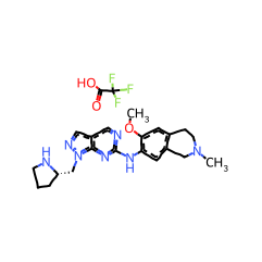 COc1cc2c(cc1Nc1ncc3cnn(C[C@@H]4CCCN4)c3n1)CN(C)CC2.O=C(O)C(F)(F)F